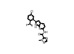 Cn1ncnc1C(=O)Nc1ccc2cc(-c3cc(Cl)ccc3C(F)F)[nH]c2n1